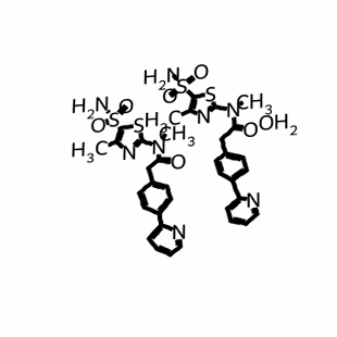 Cc1nc(N(C)C(=O)Cc2ccc(-c3ccccn3)cc2)sc1S(N)(=O)=O.Cc1nc(N(C)C(=O)Cc2ccc(-c3ccccn3)cc2)sc1S(N)(=O)=O.O